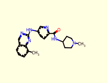 Cc1cccc2cnc(Nc3ccc(C(=O)NC4CCN(C)CC4)nc3)nc12